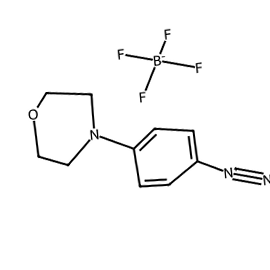 F[B-](F)(F)F.N#[N+]c1ccc(N2CCOCC2)cc1